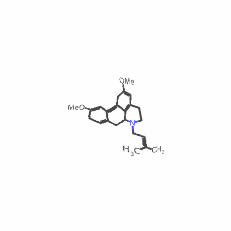 COC1=CC2=C3CC(OC)=CC4=C3C(CC2=CC1)N(CC=C(C)C)CC4